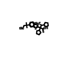 CC(C)(C)CC(C)(C)c1ccc2nc(C(C(O)=S)(C3CCCC3)C(C(=O)O)C3CCCC3)sc2c1